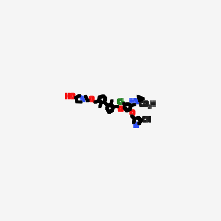 Cc1c(COCCN2CCC(O)C2)cccc1-c1cccc(COc2cc(OCc3cncc(C#N)c3)c(CNC3(C(=O)O)CC3)cc2Cl)c1C